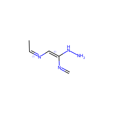 C=N/C(=C\N=C/C)NN